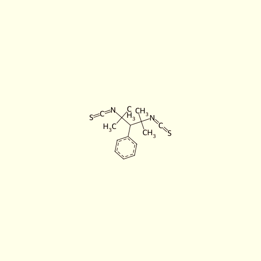 CC(C)(N=C=S)C(c1ccccc1)C(C)(C)N=C=S